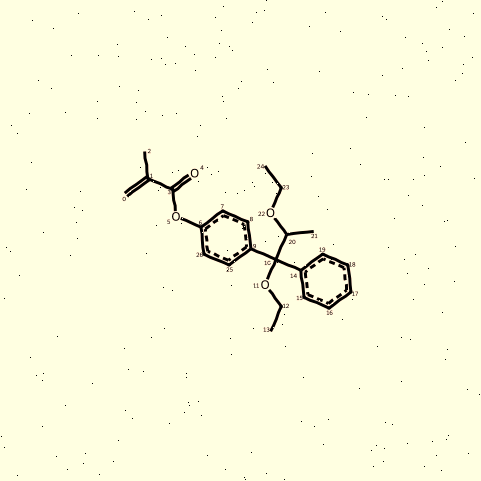 C=C(C)C(=O)Oc1ccc(C(OCC)(c2ccccc2)C(C)OCC)cc1